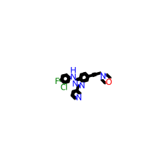 Fc1ccc(Nc2nc(-c3cccnc3)nc3cc(C#CCN4CCOCC4)ccc23)cc1Cl